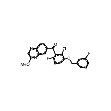 COc1cnc2ccc(C(=O)c3c(F)ccc(OCc4cccc(F)c4)c3Cl)cc2n1